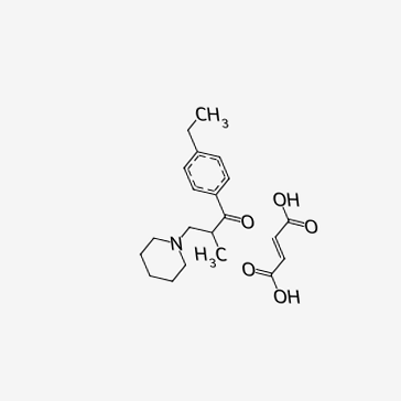 CCc1ccc(C(=O)C(C)CN2CCCCC2)cc1.O=C(O)C=CC(=O)O